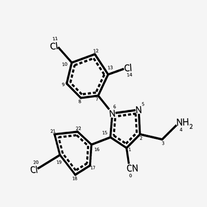 N#Cc1c(CN)nn(-c2ccc(Cl)cc2Cl)c1-c1ccc(Cl)cc1